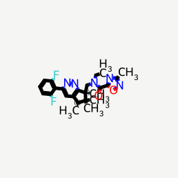 CCN(C[C@@]1(C)c2nnc(-c3c(F)cccc3F)cc2[C@H](C)C1(C)C)C(=O)c1nc(C)no1